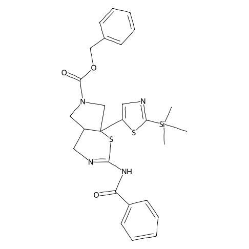 C[Si](C)(C)c1ncc(C23CN(C(=O)OCc4ccccc4)CC2CN=C(NC(=O)c2ccccc2)S3)s1